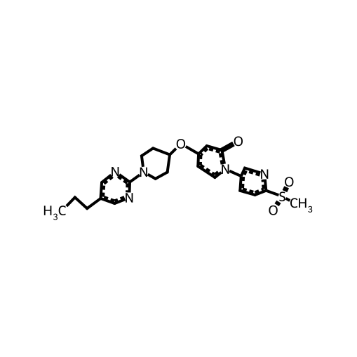 CCCc1cnc(N2CCC(Oc3ccn(-c4ccc(S(C)(=O)=O)nc4)c(=O)c3)CC2)nc1